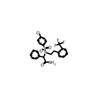 NC(=O)C(c1ccccc1)N(CCc1ccccc1C(F)(F)F)S(=O)(=O)c1ccc(Cl)cc1